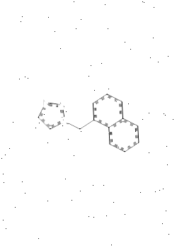 c1ccc2c(Cn3ccnn3)cccc2c1